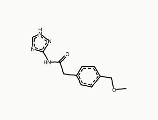 COCc1ccc(CC(=O)Nc2nc[nH]n2)cc1